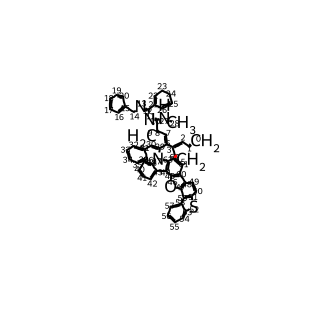 C=C/C=C(C=C)/C(=C/C(=C)/C(=N/C(=N\Cc1ccccc1)C1=CCCC=C1)NC)C(=C/c1ccccc1)/n1c2ccccc2c2c3oc4c(ccc5sc6ccccc6c54)c3ccc21